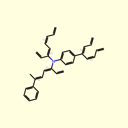 C=C/C=C\C=C(/C=C)N(/C(C=C)=C/C=C(\C)c1ccccc1)c1ccc(C(/C=C\C=C)=C/C=C)cc1